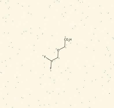 O=C(O)COCC(F)F